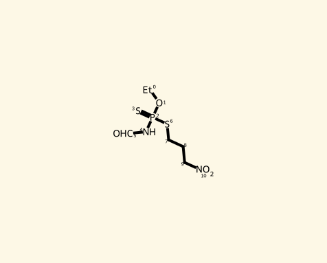 CCOP(=S)(NC=O)SCCC[N+](=O)[O-]